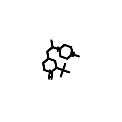 CC(CC1CCNC(C(C)(C)C)C1)N1CCN(C)CC1